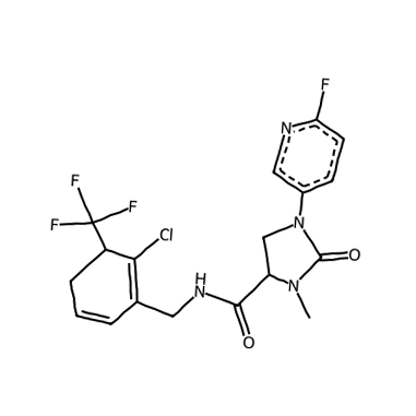 CN1C(=O)N(c2ccc(F)nc2)CC1C(=O)NCC1=C(Cl)C(C(F)(F)F)CC=C1